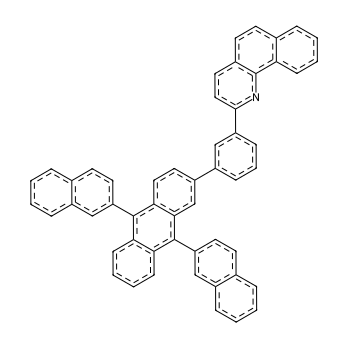 c1cc(-c2ccc3c(-c4ccc5ccccc5c4)c4ccccc4c(-c4ccc5ccccc5c4)c3c2)cc(-c2ccc3ccc4ccccc4c3n2)c1